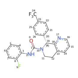 O=C(Nc1ccccc1F)N1CCc2cccnc2[C@H]1c1ccc(C(F)(F)F)cc1